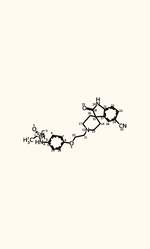 C[SH](C)(=O)Nc1ccc(OCCN2CCC3(CC2)C(=O)Nc2ccc(C#N)cc23)cc1